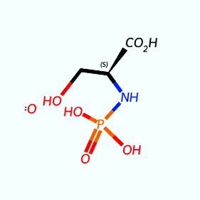 O=C(O)[C@H](CO)NP(=O)(O)O.[O]